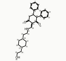 O=C1CC(c2ccccc2)C(c2ccccc2)C(=O)C1=CNCCN1CCN(CCO)CC1